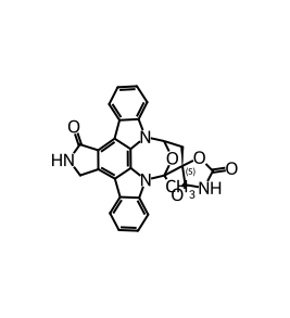 CC12OC(C[C@]13OC(=O)NC3=O)n1c3ccccc3c3c4c(c5c6ccccc6n2c5c31)CNC4=O